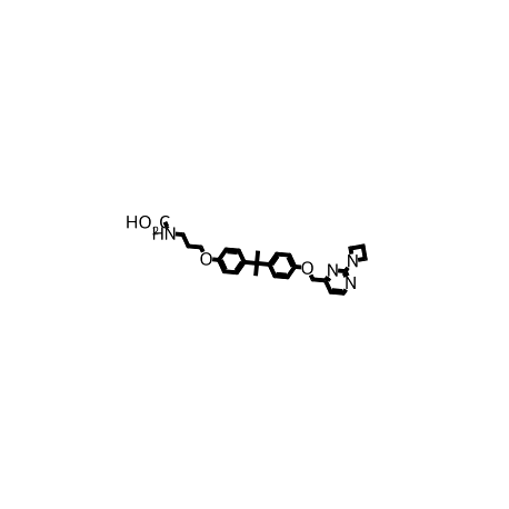 CC(C)(c1ccc(OCCCNC(=O)O)cc1)c1ccc(OCc2ccnc(N3CCC3)n2)cc1